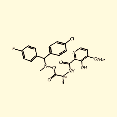 COc1ccnc(C(=O)N[C@@H](C)C(=O)ON(C)C(c2ccc(F)cc2)c2ccc(Cl)cc2)c1O